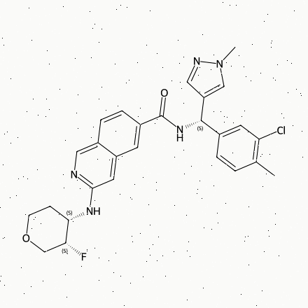 Cc1ccc([C@H](NC(=O)c2ccc3cnc(N[C@H]4CCOC[C@H]4F)cc3c2)c2cnn(C)c2)cc1Cl